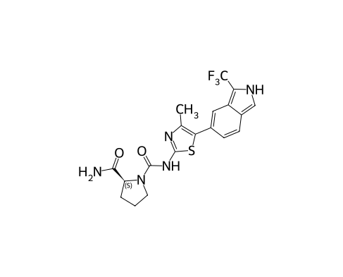 Cc1nc(NC(=O)N2CCC[C@H]2C(N)=O)sc1-c1ccc2c[nH]c(C(F)(F)F)c2c1